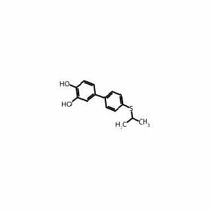 CC(C)Sc1ccc(-c2ccc(O)c(O)c2)cc1